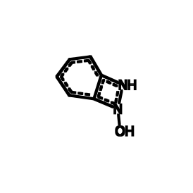 On1[nH]c2ccccc21